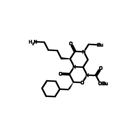 CCC(C)CN1CC2N(C(=O)OCC(C)C)O[C@H](CC3CCCCC3)C(=O)N2[C@@H](CCCCN)C1=O